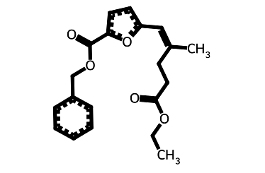 CCOC(=O)CCC(C)=Cc1ccc(C(=O)OCc2ccccc2)o1